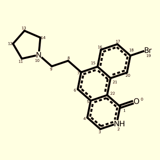 O=c1[nH]ccc2cc(CCN3CCCC3)c3ccc(Br)cc3c12